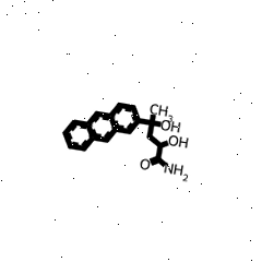 CC(O)(CC(O)C(N)=O)c1ccc2cc3ccccc3cc2c1